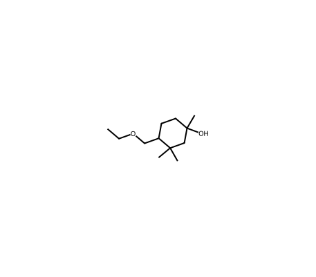 CCOCC1CCC(C)(O)CC1(C)C